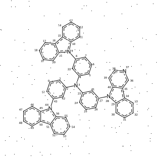 c1cc(N(c2cccc(-n3c4ccccc4c4ccccc43)c2)c2cccc(-n3c4ccccc4c4cnccc43)c2)cc(-n2c3ccccc3c3ccccc32)c1